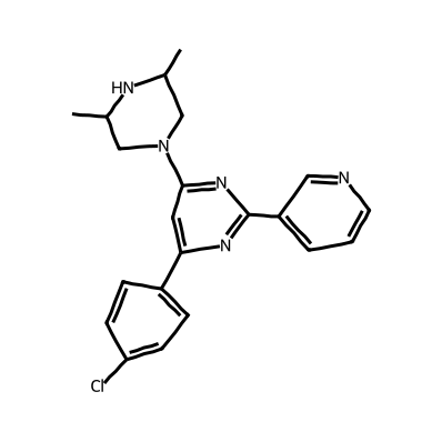 CC1CN(c2cc(-c3ccc(Cl)cc3)nc(-c3cccnc3)n2)CC(C)N1